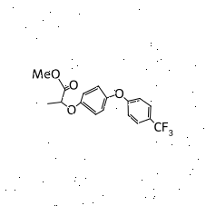 COC(=O)C(C)Oc1ccc(Oc2ccc(C(F)(F)F)cc2)cc1